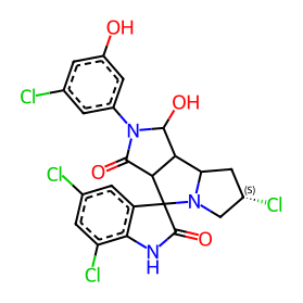 O=C1C2C(C(O)N1c1cc(O)cc(Cl)c1)C1C[C@H](Cl)CN1C21C(=O)Nc2c(Cl)cc(Cl)cc21